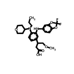 CCCN(c1ccc(C(COC)CC(=O)O)cc1Nc1ccc2c(c1)OC(F)(F)O2)C1CCOCC1